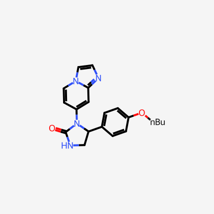 CCCCOc1ccc(C2CNC(=O)N2c2ccn3ccnc3c2)cc1